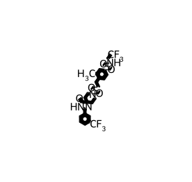 Cc1cc(S(=O)(=O)NCC(F)(F)F)ccc1CCS(=O)(=O)N1CCC2(CC1)N=C(c1cccc(C(F)(F)F)c1)NC2=O